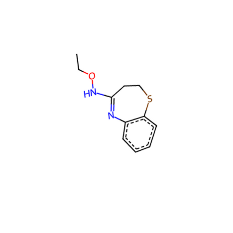 CCONC1=Nc2ccccc2SCC1